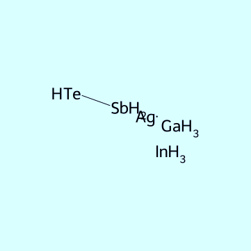 [Ag].[GaH3].[InH3].[SbH2][TeH]